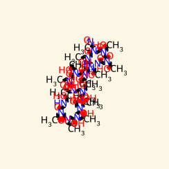 CC(O)CNCC(=O)N(CC(=O)N(CC(=O)N(CC(=O)N(CC(=O)N(CC(=O)N(CC(=O)N(CC(=O)N(CC(=O)N(CC(=O)N(CC(=O)N(CC(=O)N(CC(=O)N(CC(=O)N(CC(=O)N(CC(N)=O)CC(C)O)CC(C)O)CC(C)N=O)CC(C)O)CC(C)O)CC(C)O)CC(C)O)CC(C)O)CC(C)O)CC(C)O)CC(C)O)CC(C)O)CC(C)O)CC(C)O)CC(C)O